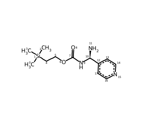 C[Si](C)(C)CCOC(=O)N[C@@H](N)c1ccncc1